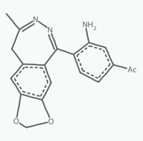 CC(=O)c1ccc(C2=NN=C(C)Cc3cc4c(cc32)OCO4)c(N)c1